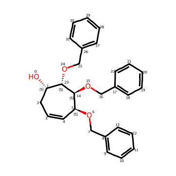 O[C@H]1CC=C[C@H](OCc2ccccc2)[C@H](OCc2ccccc2)[C@H]1OCc1ccccc1